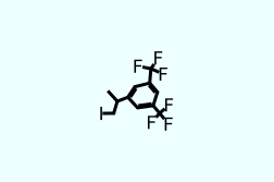 CC(CI)c1cc(C(F)(F)F)cc(C(F)(F)F)c1